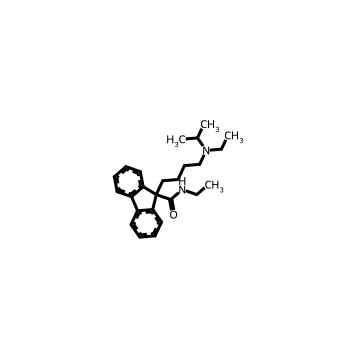 CCNC(=O)C1(CCCCN(CC)C(C)C)c2ccccc2-c2ccccc21